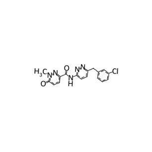 Cn1nc(C(=O)Nc2ccc(Cc3cccc(Cl)c3)nn2)ccc1=O